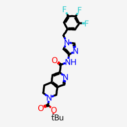 CC(C)(C)OC(=O)N1CCc2cc(C(=O)Nc3cn(Cc4cc(F)c(F)c(F)c4)cn3)ncc2C1